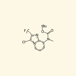 CN(C(=O)OC(C)(C)C)c1cccn2c(Cl)c(C(F)(F)F)nc12